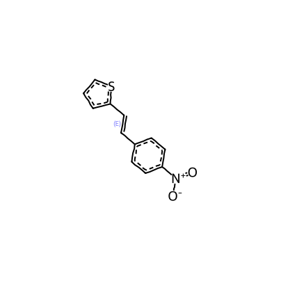 O=[N+]([O-])c1ccc(/C=C/c2cccs2)cc1